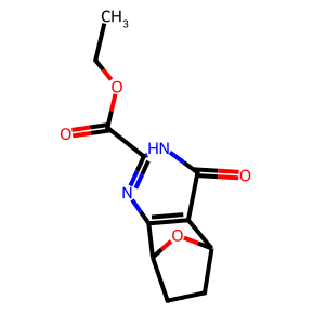 CCOC(=O)c1nc2c(c(=O)[nH]1)C1CCC2O1